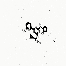 CC(Nc1nc(N[C@H]2CCC[C@H]2O)nc(-c2cccc(C(F)(F)F)n2)n1)C1CC1